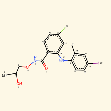 CCC(O)CONC(=O)c1ccc(F)cc1Nc1ccc(I)cc1C